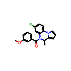 COc1cccc(C(=O)N2c3cc(F)ccc3-n3cccc3C2C)c1